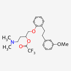 COc1cccc(CCc2ccccc2OCC(CCN(C)C)OC(=O)C(F)(F)F)c1